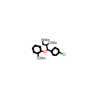 CNCC(OC)C(Oc1ccccc1OC)c1ccc(Cl)cc1